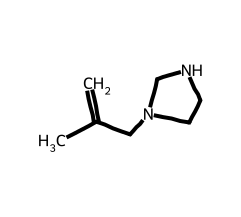 C=C(C)CN1CCNC1